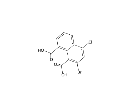 O=C(O)c1cccc2c(Cl)cc(Br)c(C(=O)O)c12